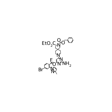 CCOC(=O)C1CC2(CCN(c3cc(O[C@H](F)c4ccc(Br)cc4-n4ccc(C)n4)nc(N)n3)CC2)CN1C(=O)OCc1ccccc1